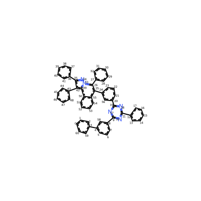 c1ccc(-c2cccc(-c3nc(-c4ccccc4)nc(-c4cccc(-c5c(-c6ccccc6)n6nc(-c7ccccc7)c(-c7ccccc7)c6c6ccccc56)c4)n3)c2)cc1